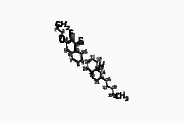 C=CCOc1cc2ccc([C@@H]3CC[C@@H]4CC(CCCCC)CCC4C3)cc2c(F)c1F